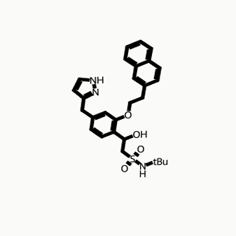 CC(C)(C)NS(=O)(=O)CC(O)c1ccc(Cc2cc[nH]n2)cc1OCCc1ccc2ccccc2c1